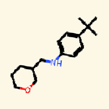 CC(C)(C)c1ccc(NCC2CCCOC2)cc1